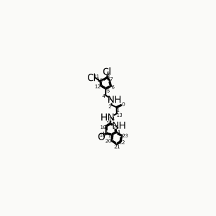 C=C(CNCc1ccc(Cl)c(Cl)c1)CNc1cc(=O)c2ccccc2[nH]1